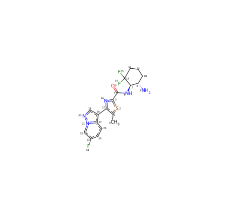 Cc1sc(C(=O)N[C@@H]2[C@@H](N)CCCC2(F)F)nc1-c1cnn2cc(F)ccc12